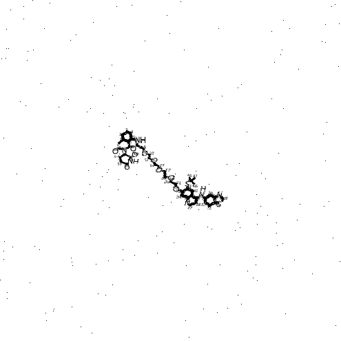 Cc1cccc(NC(=O)COCCOCCOCCOCCOc2cc3nccc(Nc4ccc5scnc5c4)c3cc2SC(C)(C)C)c1CN(C=O)C1CCC(=O)NC1=O